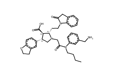 CCCCN(C(=O)CN1C[C@H](c2ccc3c(c2)CCO3)[C@@H](C(=O)O)[C@@H]1CCN1C(=O)Cc2ccccc21)c1cccc(CN)c1